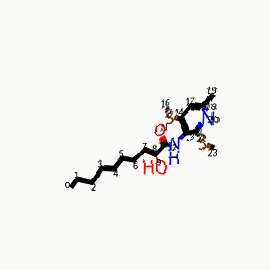 CCCCCCCC[C@@H](O)C(=O)Nc1c(SC)cc(C)nc1SC